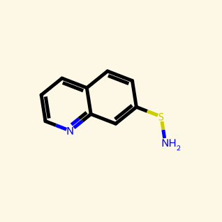 NSc1ccc2cccnc2c1